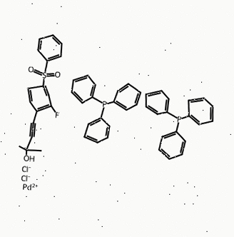 CC(C)(O)C#Cc1ccc(S(=O)(=O)c2ccccc2)cc1F.[Cl-].[Cl-].[Pd+2].c1ccc(P(c2ccccc2)c2ccccc2)cc1.c1ccc(P(c2ccccc2)c2ccccc2)cc1